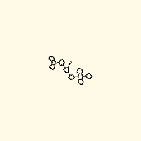 N#Cc1cc(-c2cccc(-c3c4ccccc4c(-c4ccccc4)c4ccccc34)c2)ccc1-c1cccc(-n2c3ccccc3c3ccccc32)c1